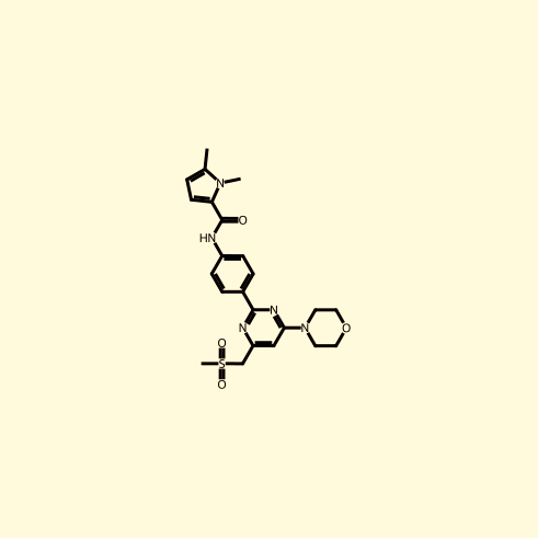 Cc1ccc(C(=O)Nc2ccc(-c3nc(CS(C)(=O)=O)cc(N4CCOCC4)n3)cc2)n1C